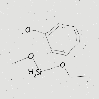 CCO[SiH2]OC.Clc1ccccc1